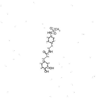 CS(=O)(=O)Nc1ccc(CCNC(=O)CCc2ccc(O)c(O)c2)cc1